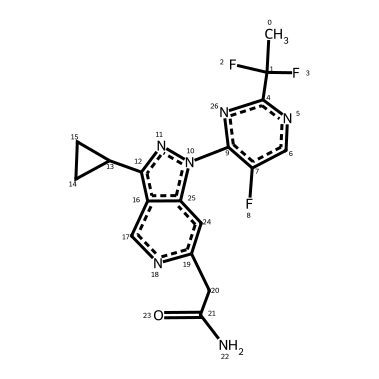 CC(F)(F)c1ncc(F)c(-n2nc(C3CC3)c3cnc(CC(N)=O)cc32)n1